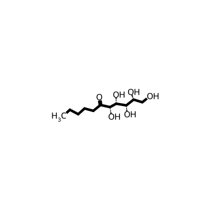 CCCCCC(=O)[C@@H](O)[C@H](O)[C@@H](O)[C@H](O)CO